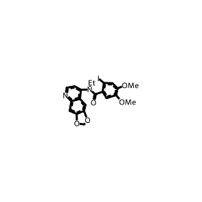 CCN(C(=O)c1cc(OC)c(OC)cc1I)c1ccnc2cc3c(cc12)OCO3